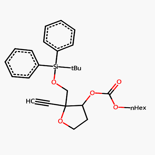 C#CC1(CO[Si](c2ccccc2)(c2ccccc2)C(C)(C)C)OCCC1OC(=O)OCCCCCC